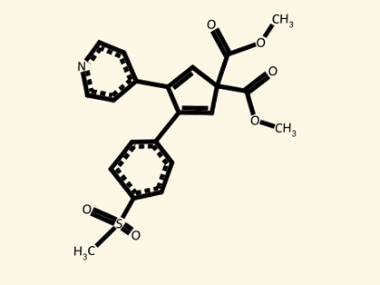 COC(=O)C1(C(=O)OC)C=C(c2ccncc2)C(c2ccc(S(C)(=O)=O)cc2)=C1